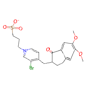 COc1cc2c(cc1OC)C(=O)C(Cc1cc[n+](CCCS(=O)(=O)[O-])cc1Br)C2